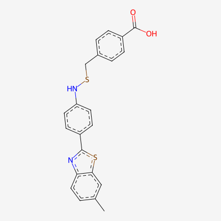 Cc1ccc2nc(-c3ccc(NSCc4ccc(C(=O)O)cc4)cc3)sc2c1